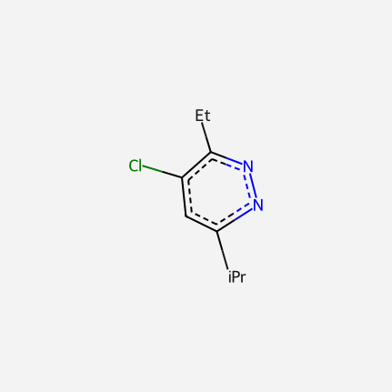 CCc1nnc(C(C)C)cc1Cl